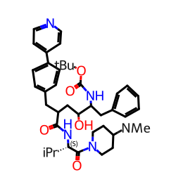 CNC1CCN(C(=O)[C@@H](NC(=O)C(Cc2ccc(-c3ccncc3)cc2)CC(O)C(Cc2ccccc2)NC(=O)OC(C)(C)C)C(C)C)CC1